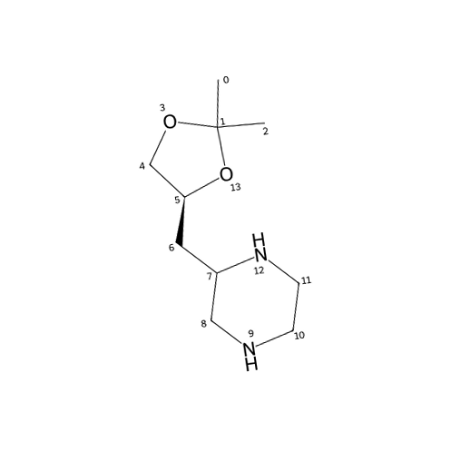 CC1(C)OC[C@H](CC2CNCCN2)O1